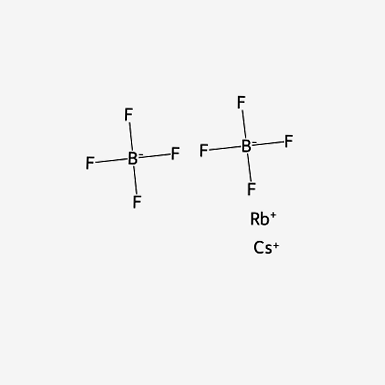 F[B-](F)(F)F.F[B-](F)(F)F.[Cs+].[Rb+]